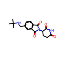 CC(C)(C)NCc1ccc2c(c1)C(=O)N(C1CCC(=O)NC1=O)C2=O